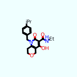 CCNC(=O)c1c(O)c2c(n(Cc3ccc(C(C)C)cc3)c1=O)CCOC2